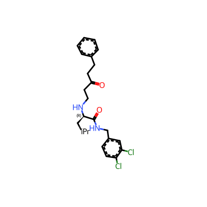 CC(C)C[C@@H](NCCC(=O)CCc1ccccc1)C(=O)NCc1ccc(Cl)c(Cl)c1